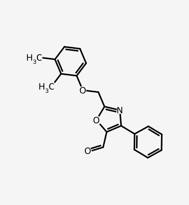 Cc1cccc(OCc2nc(-c3ccccc3)c(C=O)o2)c1C